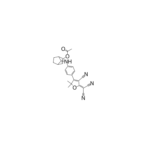 CC(=O)OC1=CC2CCC1C2Nc1ccc(C2=C(C#N)C(=C(C#N)C#N)OC2(C)C)cc1